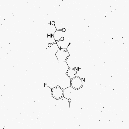 COc1ccc(F)cc1-c1ccnc2[nH]c(C3=C[C@H](C)N(S(=O)(=O)NC(=O)O)CC3)cc12